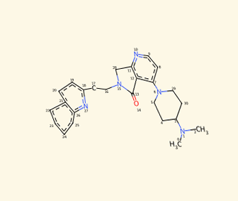 CN(C)C1CCN(c2ccnc3c2C(=O)N(CCc2ccc4ccccc4n2)C3)CC1